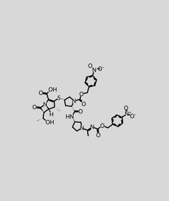 CC(=NC(=O)OCc1ccc([N+](=O)[O-])cc1)N1CC[C@H](NC(=O)[C@@H]2C[C@H](SC3=C(C(=O)O)N4C(=O)[C@H]([C@@H](C)O)[C@H]4[C@H]3C)CN2C(=O)OCc2ccc([N+](=O)[O-])cc2)C1